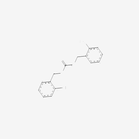 Cc1ccccc1CSC(=S)SCc1ccccc1C